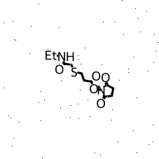 CCNC(=O)CSCCC(=O)ON1C(=O)CCC1=O